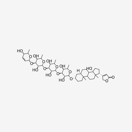 CC1O[C@@H](O[C@@H]2[C@H](O)C(O[C@@H]3[C@H](O)C(O[C@@H]4[C@H](O)C(O[C@H]5CCC6(C)C7CCC8(C)[C@@H](C9=CC(=O)OC9)CC[C@]8(O)C7CC[C@@H]6C5)OC(C)[C@@H]4O)OC(C)[C@@H]3O)OC(C)[C@@H]2O)C=C[C@H]1O